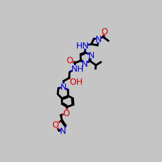 CC(=O)N1CC(Nc2cc(C(=O)NCC(O)CN3CCc4cc(OCc5cnco5)ccc4C3)nc(C(C)C)n2)C1